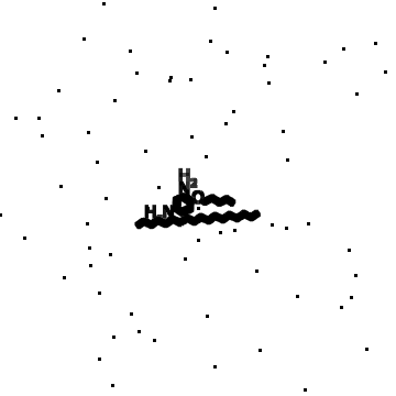 CCCCCCCCCCCCCCCCCC.CCCCCOc1ccc(N)cc1N